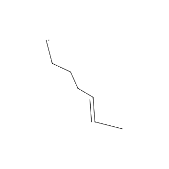 [CH2]CCC/C=C/C